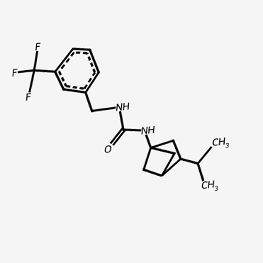 CC(C)C1CC2(NC(=O)NCc3cccc(C(F)(F)F)c3)CC1C2